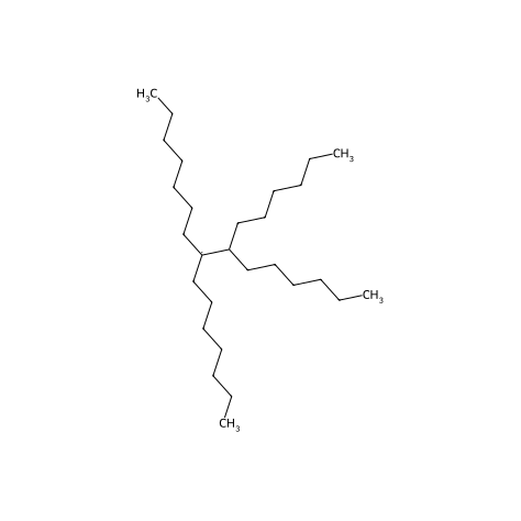 CCCCCCC[C](CCCCCCC)C(CCCCCC)CCCCCC